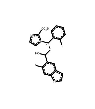 CCOC(=O)c1nccn1[C@@H](CC(O)c1cc2ccoc2cc1F)c1ccccc1I